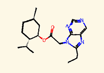 CCc1nc2cncnc2n1CC(=O)O[C@@H]1C[C@H](C)CC[C@H]1C(C)C